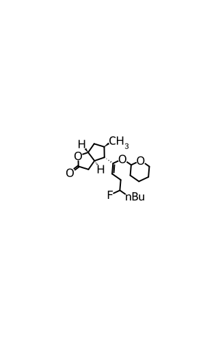 CCCCC(F)CC=C(OC1CCCCO1)[C@@H]1[C@H]2CC(=O)O[C@@H]2C[C@H]1C